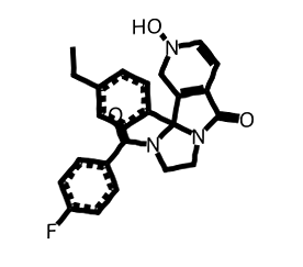 CCc1ccc(C23C4=C(C=CN(O)C4)C(=O)N2CCN3C(=O)c2ccc(F)cc2)cc1